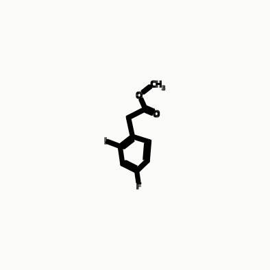 COC(=O)Cc1ccc(F)cc1I